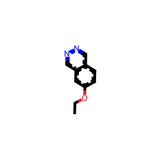 CCOc1ccc2cnncc2c1